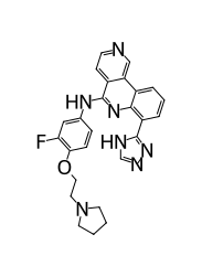 Fc1cc(Nc2nc3c(-c4nnc[nH]4)cccc3c3cnccc23)ccc1OCCN1CCCC1